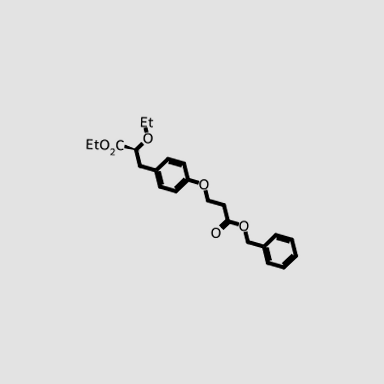 CCOC(=O)[C@H](Cc1ccc(OCCC(=O)OCc2ccccc2)cc1)OCC